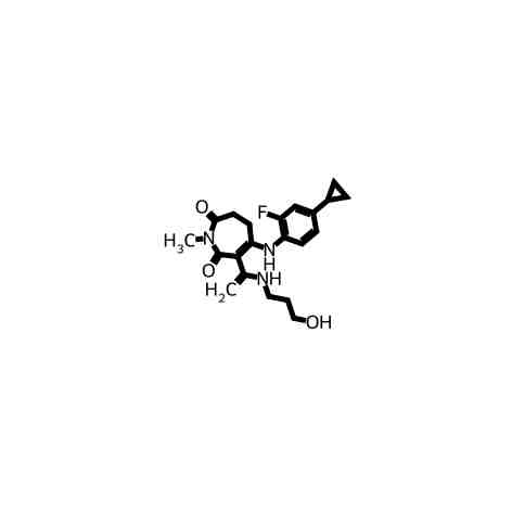 C=C(NCCCO)C1=C(Nc2ccc(C3CC3)cc2F)CCC(=O)N(C)C1=O